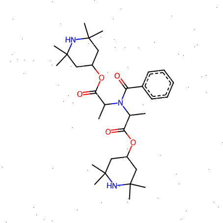 CC(C(=O)OC1CC(C)(C)NC(C)(C)C1)N(C(=O)c1ccccc1)C(C)C(=O)OC1CC(C)(C)NC(C)(C)C1